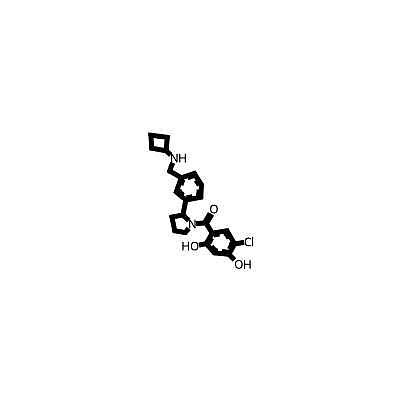 O=C(c1cc(Cl)c(O)cc1O)N1CCCC1c1cccc(CNC2CCC2)c1